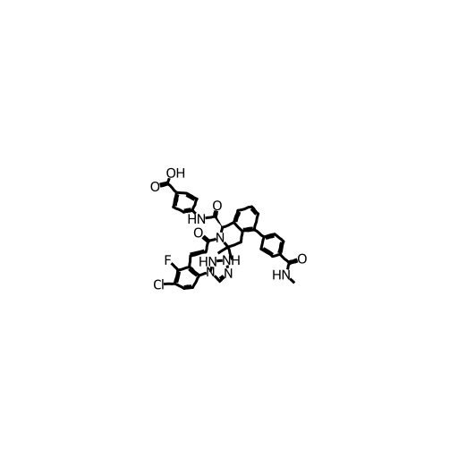 CNC(=O)c1ccc(-c2cccc3c2CC(C)(C)N(C(=O)/C=C/c2c(N4C=NNN4)ccc(Cl)c2F)[C@H]3C(=O)Nc2ccc(C(=O)O)cc2)cc1